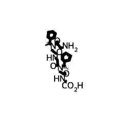 C[C@@H](c1ccccc1)N(CC(=O)NCC(=O)N(CC(=O)NCC(=O)O)[C@@H](C)c1ccccc1)C(=O)CN